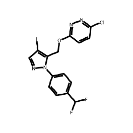 FC(F)c1ccc(-n2ncc(I)c2COc2ccc(Cl)nn2)cc1